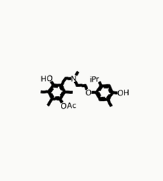 CC(=O)Oc1c(C)c(C)c(O)c(CN(C)CCOc2cc(C)c(O)cc2C(C)C)c1C